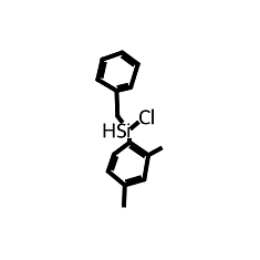 Cc1ccc([SiH](Cl)Cc2ccccc2)c(C)c1